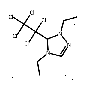 CCN1C=NN(CC)C1C(Cl)(Cl)C(Cl)(Cl)Cl